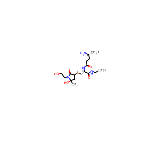 CC1(O)CC(SC[C@H](NC(=O)CC[C@H](N)C(=O)O)C(=O)NCC(=O)O)C(=O)N1CCO